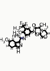 CCC/C(=N\c1cc(N(C)C(=O)C(C)N2CCOCC2)cc(C(F)(F)P)c1C)c1n[nH]c2c1C[C@H](C)CC2